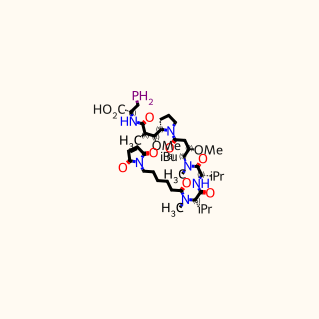 CC[C@H](C)[C@@H]([C@@H](CC(=O)N1CCC[C@H]1[C@H](OC)[C@@H](C)C(=O)N[C@@H](CP)C(=O)O)OC)N(C)C(=O)[C@@H](NC(=O)[C@H](C(C)C)N(C)C(=O)CCCCCN1C(=O)C=CC1=O)C(C)C